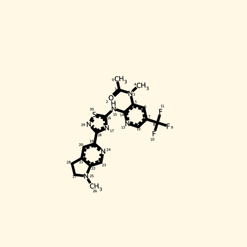 CC(=O)N(C)c1cc(C(F)(F)F)cnc1Nc1nc(-c2cc3c(cn2)N(C)CC3)ns1